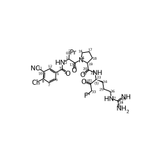 CC(C)C(NC(=O)c1ccc(Cl)c(C#N)c1)C(=O)N1CCCC1C(=O)N[C@@H](CCCNC(=N)N)C(=O)CF